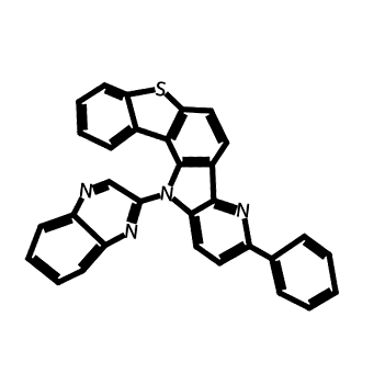 c1ccc(-c2ccc3c(n2)c2ccc4sc5ccccc5c4c2n3-c2cnc3ccccc3n2)cc1